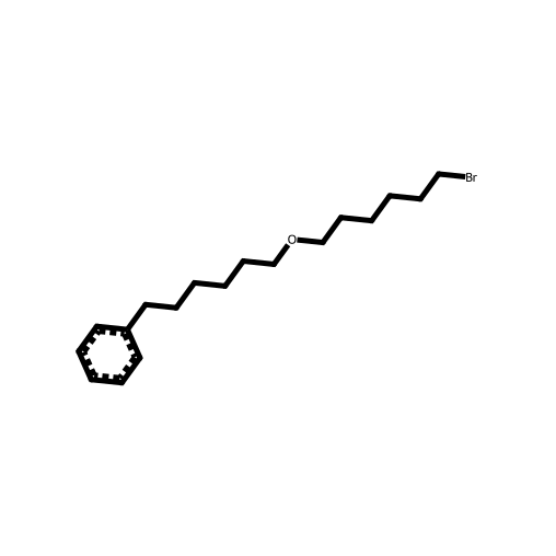 BrCCCCCCOCCCCCCc1ccccc1